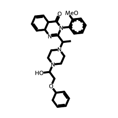 COc1ccccc1N1C(=O)C2C=CC=CC2N=C1C(C)N1CCN(C(O)COC2C=CC=CC2)CC1